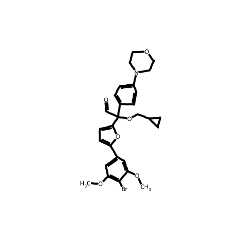 COc1cc(-c2ccc(C(C=O)(OCC3CC3)c3ccc(N4CCOCC4)cc3)o2)cc(OC)c1Br